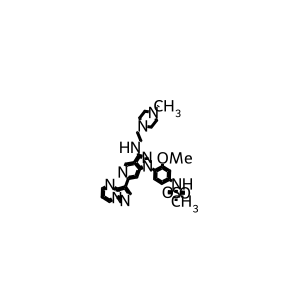 COc1cc(NS(C)(=O)=O)ccc1-n1nc(NCCN2CCN(C)CC2)c2cnc(-c3cnn4cccnc34)cc21